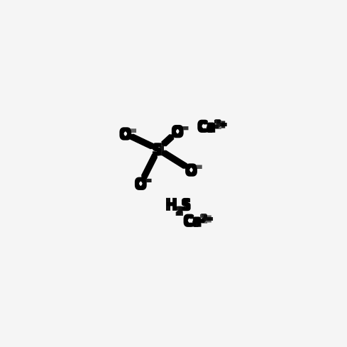 S.[Ca+2].[Ca+2].[O-][Si]([O-])([O-])[O-]